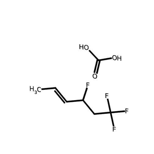 CC=CC(F)CC(F)(F)F.O=C(O)O